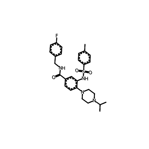 Cc1ccc(S(=O)(=O)Nc2cc(C(=O)NCc3ccc(F)cc3)ccc2N2CCN(C(C)C)CC2)cc1